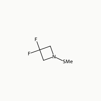 CSN1CC(F)(F)C1